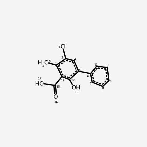 Cc1c(Cl)cc(-c2ccccc2)c(O)c1C(=O)O